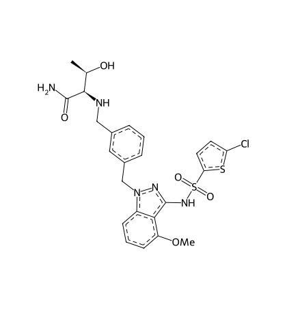 COc1cccc2c1c(NS(=O)(=O)c1ccc(Cl)s1)nn2Cc1cccc(CN[C@@H](C(N)=O)[C@@H](C)O)c1